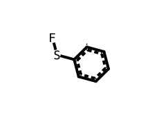 FSc1[c]cccc1